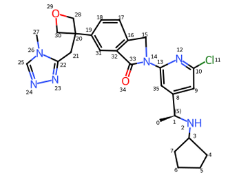 C[C@H](NC1CCCC1)c1cc(Cl)nc(N2Cc3ccc(C4(Cc5nncn5C)COC4)cc3C2=O)c1